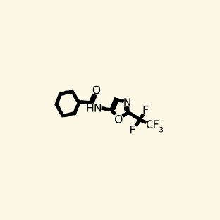 O=C(Nc1cnc(C(F)(F)C(F)(F)F)o1)C1CCCCC1